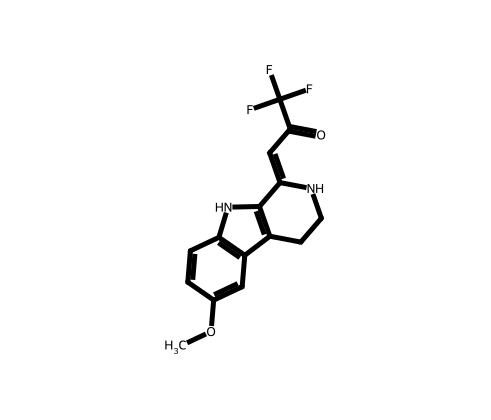 COc1ccc2[nH]c3c(c2c1)CCNC3=CC(=O)C(F)(F)F